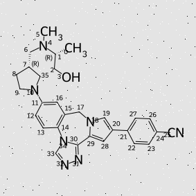 C[C@H](CO)N(C)C[C@H]1CCN(c2ccc3c(c2)Cn2cc(-c4ccc(C#N)cc4)cc2-c2nncn2-3)C1